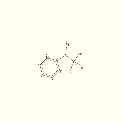 CCN1c2ncccc2CC1(C)C